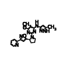 COc1cc(Nc2cc(C)[nH]n2)nc(N2CCC[C@H]2c2cc(-c3ccccn3)no2)n1